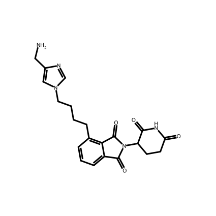 NCc1cn(CCCCc2cccc3c2C(=O)N(C2CCC(=O)NC2=O)C3=O)cn1